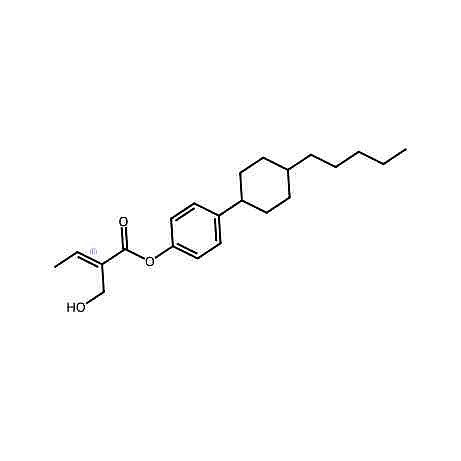 C/C=C(\CO)C(=O)Oc1ccc(C2CCC(CCCCC)CC2)cc1